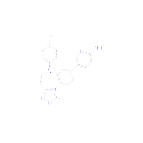 Cc1nnc2n1-c1ccc(-c3ccc(N)nc3)cc1N(c1ccc(Cl)cc1)CC2